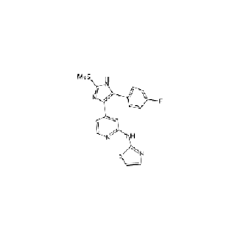 CSc1nc(-c2ccnc(Nc3nccs3)c2)c(-c2ccc(F)cc2)[nH]1